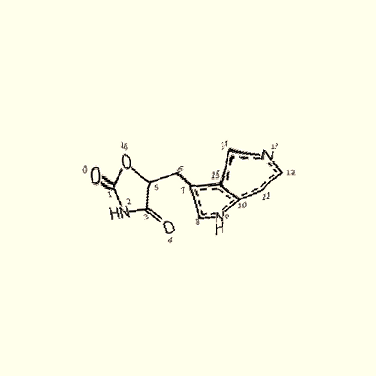 O=C1NC(=O)C(Cc2c[nH]c3ccncc23)O1